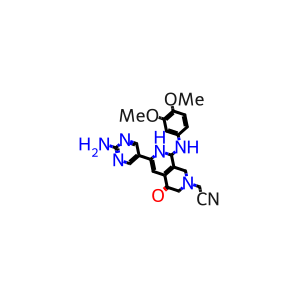 COc1ccc(NC2NC(c3cnc(N)nc3)=CC3=C2CN(CC#N)CC3=O)cc1OC